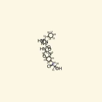 CN1C(=O)[C@@H](NC(=O)c2n[nH]c(Cc3ccccc3)n2)COc2ccc(/C=C(\Cl)C(C)(C)O)cc21